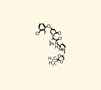 CC(C)C[C@@H](C(=O)Nc1ccn(C[C@@H]2COC(C)(C)O2)n1)N1CC(Oc2cccc(Cl)c2F)=CC1=O